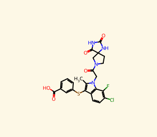 Cc1c(Sc2cccc(C(=O)O)c2)c2ccc(Cl)c(F)c2n1CC(=O)N1CCC2(C1)NC(=O)NC2=O